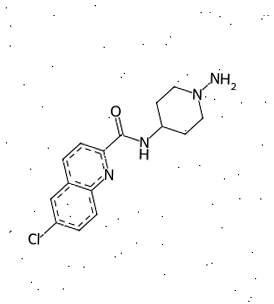 NN1CCC(NC(=O)c2ccc3cc(Cl)ccc3n2)CC1